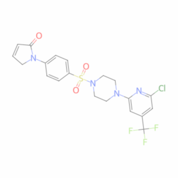 O=C1C=CCN1c1ccc(S(=O)(=O)N2CCN(c3cc(C(F)(F)F)cc(Cl)n3)CC2)cc1